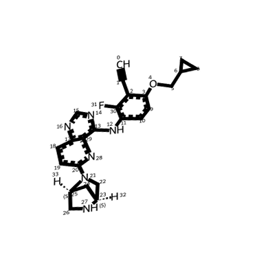 C#Cc1c(OCC2CC2)ccc(Nc2ncnc3ccc(N4C[C@@H]5C[C@H]4CN5)nc23)c1F